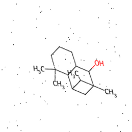 CC1C2CC1(C)C(O)C1CCCC(C)(C)C21